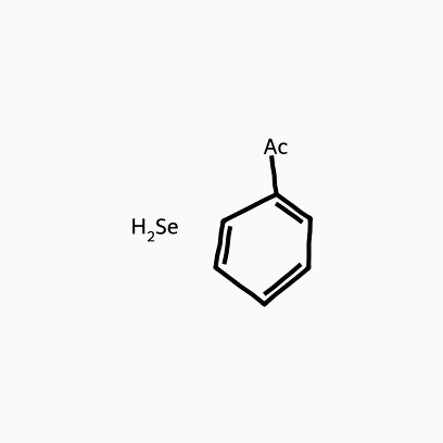 CC(=O)c1ccccc1.[SeH2]